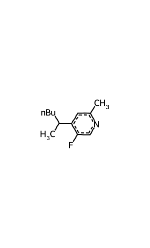 CCCCC(C)c1cc(C)ncc1F